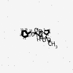 COC(=O)[C@@H]1CCCN1S(=O)(=O)NC(=O)OCc1ccccc1